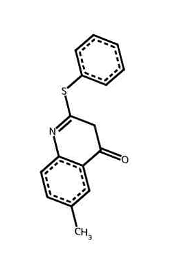 Cc1ccc2c(c1)C(=O)CC(Sc1ccccc1)=N2